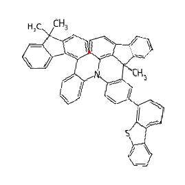 CC1(C)c2ccccc2-c2c(-c3ccccc3N3c4ccc(-c5cccc6c5sc5ccccc56)cc4C4(C)c5ccccc5-c5cccc3c54)cccc21